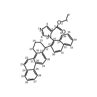 CCOC(=O)c1cncn1-c1c(C2CCCc3c2ccc2c3ccc3ccccc32)ccc2ccccc12